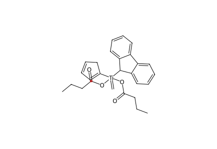 [CH2]=[Ti]([O]C(=O)CCC)([O]C(=O)CCC)([C]1=CC=CC1)[CH]1c2ccccc2-c2ccccc21